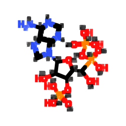 Nc1ncnc2c1ncn2[C@@H]1O[C@H](C(O)P(=O)(O)OP(=O)(O)O)[C@@H](OP(=O)(O)O)[C@H]1O